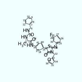 C[C@H](NC(=O)NCc1ccccc1)C(=O)Nc1ccc(C2S/C(=N\c3cccc(F)c3)N(Cc3ccco3)C2=O)cc1